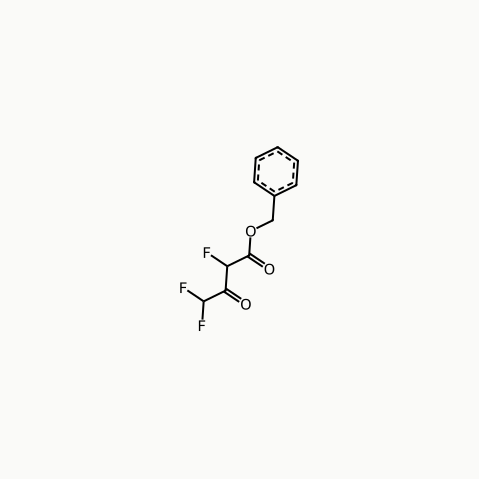 O=C(OCc1ccccc1)C(F)C(=O)C(F)F